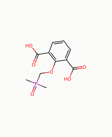 CP(C)(=O)COc1c(C(=O)O)cccc1C(=O)O